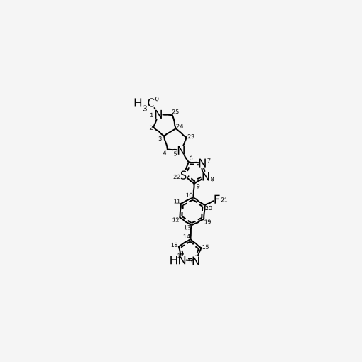 CN1CC2CN(c3nnc(-c4ccc(-c5cn[nH]c5)cc4F)s3)CC2C1